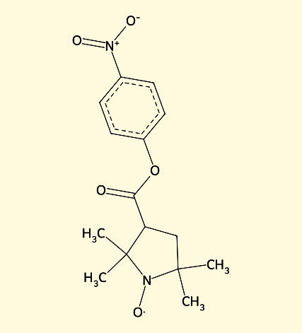 CC1(C)CC(C(=O)Oc2ccc([N+](=O)[O-])cc2)C(C)(C)N1[O]